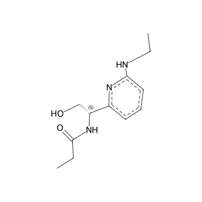 CCNc1cccc([C@@H](CO)NC(=O)CC)n1